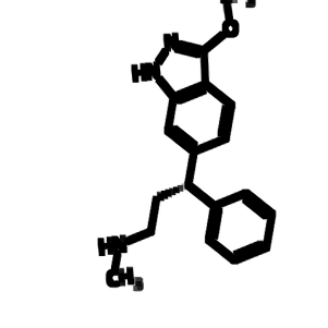 CNCC[C@@H](c1ccccc1)c1ccc2c(OC)n[nH]c2c1